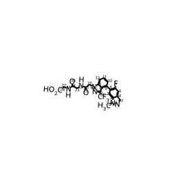 Cn1ncc2cc(F)c(-c3cccc4c3c(C(F)(F)F)nn4CC(=O)NCC(=O)NCC(=O)O)cc21